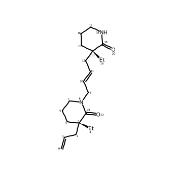 C=CC[C@]1(CC)CCCN(C/C=C/C[C@]2(CC)CCCNC2=O)C1=O